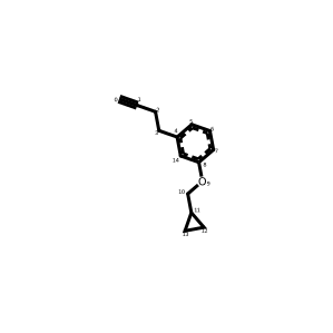 C#CCCc1cccc(OCC2CC2)c1